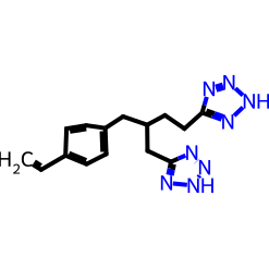 C=Cc1ccc(CC(CCc2nn[nH]n2)Cc2nn[nH]n2)cc1